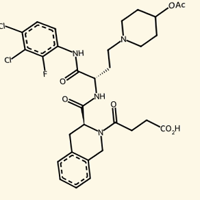 CC(=O)OC1CCN(CC[C@H](NC(=O)[C@@H]2Cc3ccccc3CN2C(=O)CCC(=O)O)C(=O)Nc2ccc(Cl)c(Cl)c2F)CC1